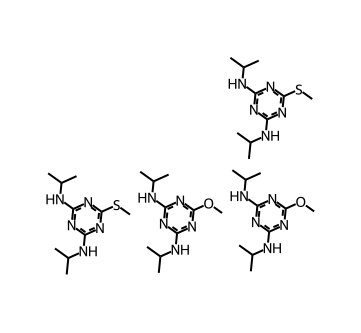 COc1nc(NC(C)C)nc(NC(C)C)n1.COc1nc(NC(C)C)nc(NC(C)C)n1.CSc1nc(NC(C)C)nc(NC(C)C)n1.CSc1nc(NC(C)C)nc(NC(C)C)n1